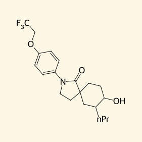 CCCC1CC2(CCC1O)CCN(c1ccc(OCC(F)(F)F)cc1)C2=O